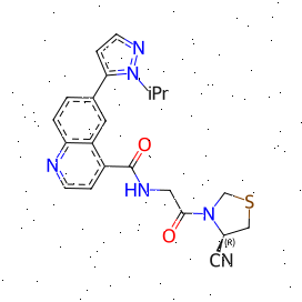 CC(C)n1nccc1-c1ccc2nccc(C(=O)NCC(=O)N3CSC[C@H]3C#N)c2c1